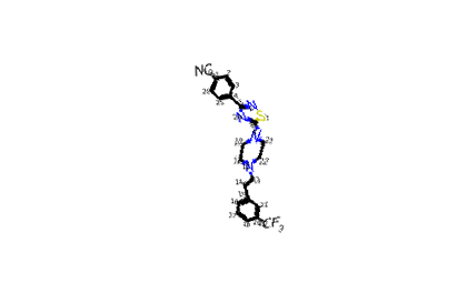 N#Cc1ccc(-c2nsc(N3CCN(CCc4cccc(C(F)(F)F)c4)CC3)n2)cc1